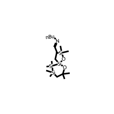 CCCC/N=C/CC[Si]1(O[Si](C)(C)C)OC(C)(C)C[Si](C)(C)[Si]1(C)C